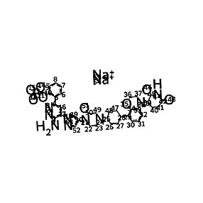 Nc1nnc(-c2ccccc2OP(=O)([O-])[O-])cc1-n1cc(N2CCN([C@H]3CC[C@H](c4cccc5c4OCCN5[C@H]4CCC(=O)NC4=O)CC3)CC2=O)cn1.[Na+].[Na+]